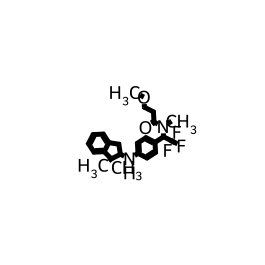 COCCC(=O)N(C)C(c1ccc(NC2Cc3ccccc3C2(C)C)cc1)C(F)(F)F